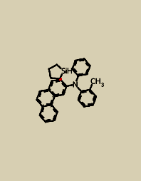 Cc1ccccc1N(c1ccc2ccc3ccccc3c2c1)c1ccccc1[SiH]1CCCC1